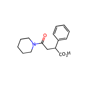 O=C(O)C(CC(=O)N1CCCCC1)c1ccccc1